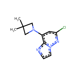 CC1(C)CN(c2cc(Cl)nn3ccnc23)C1